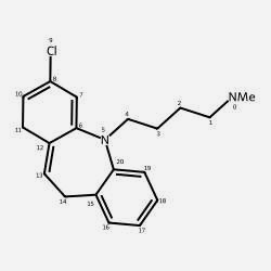 CNCCCCN1C2=CC(Cl)=CCC2=CCc2ccccc21